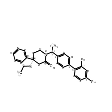 C[C@@H](c1ccc(-c2ccc(F)cc2F)cc1)N1CC[C@](CCO)(c2ccccc2)CC1=O